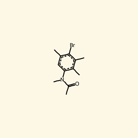 CC(=O)N(C)c1cc(C)c(Br)c(C)c1C